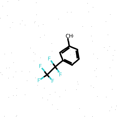 [CH]c1cccc(C(F)(F)C(F)(F)F)c1